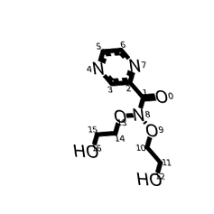 O=C(c1cnccn1)N(OCCO)OCCO